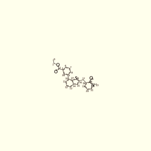 CCOC(=O)c1cccc(-c2cccc3cc(Cc4cccn(C)c4=O)sc23)c1